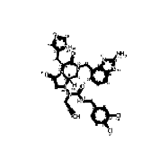 C#CCN(C(=O)NCc1ccc(Cl)c(Cl)c1)N1CC(=O)N2[C@@H](Cc3cnc[nH]3)C(=O)N(Cc3cccc4sc(N)nc34)C[C@@H]21